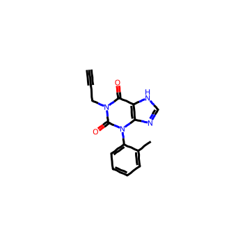 C#CCn1c(=O)c2[nH]cnc2n(-c2ccccc2C)c1=O